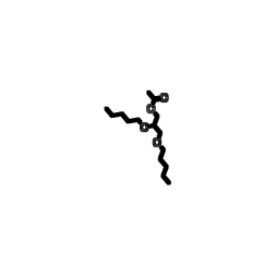 CCCCCOCC(COC(C)=O)OCCCCC